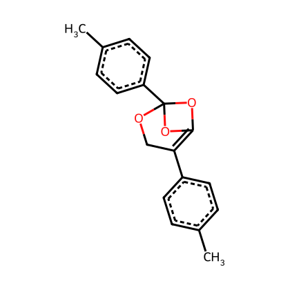 Cc1ccc(C2=C3OC(c4ccc(C)cc4)(OC2)O3)cc1